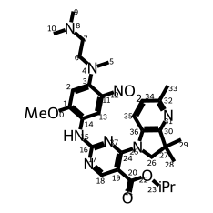 COc1cc(N(C)CCN(C)C)c([N+](=O)[O-])cc1Nc1ncc(C(=O)OC(C)C)c(N2CC(C)(C)c3nc(C)ccc32)n1